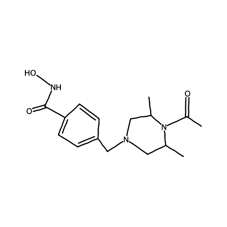 CC(=O)N1C(C)CN(Cc2ccc(C(=O)NO)cc2)CC1C